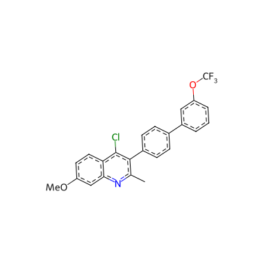 COc1ccc2c(Cl)c(-c3ccc(-c4cccc(OC(F)(F)F)c4)cc3)c(C)nc2c1